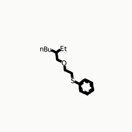 CCCCC(CC)COCCSc1ccccc1